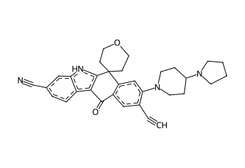 C#Cc1cc2c(cc1N1CCC(N3CCCC3)CC1)C1(CCOCC1)c1[nH]c3cc(C#N)ccc3c1C2=O